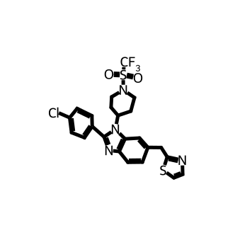 O=S(=O)(N1CCC(n2c(-c3ccc(Cl)cc3)nc3ccc(Cc4nccs4)cc32)CC1)C(F)(F)F